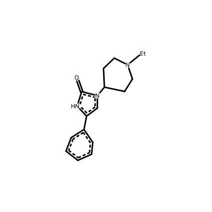 CCN1CCC(n2cc(-c3ccccc3)[nH]c2=O)CC1